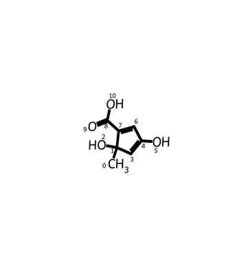 CC1(O)C=C(O)C=C1C(=O)O